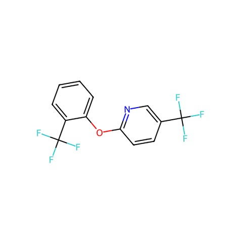 FC(F)(F)c1ccc(Oc2ccccc2C(F)(F)F)nc1